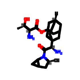 C[C@H](O)[C@H](N)C(=O)OC12CC3C[C@H](C1)CC([C@H](N)C(=O)N1C4CC4C[C@H]1C#N)(C3)C2